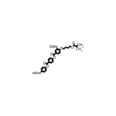 C=C(C)C(=O)OCCCCOc1ccc(C(=O)Oc2ccc(C(=O)Oc3ccc(CCCCCCCCC)cc3)cc2)cc1OC